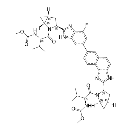 COC(=O)N[C@H](C(=O)N1[C@@H]2C[C@@H]2C[C@H]1c1nc2c(F)cc(-c3ccc4c(ccc5[nH]c([C@@H]6C[C@H]7C[C@H]7N6C(=O)[C@@H](NC(=O)OC)C(C)C)nc54)c3)cc2[nH]1)C(C)C